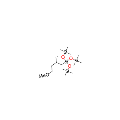 [CH2]C(CCOC)C[Si](O[Si](C)(C)C)(O[Si](C)(C)C)O[Si](C)(C)C